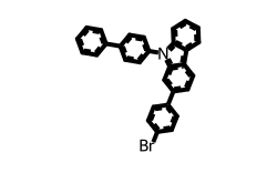 Brc1ccc(-c2ccc3c4ccccc4n(-c4ccc(-c5ccccc5)cc4)c3c2)cc1